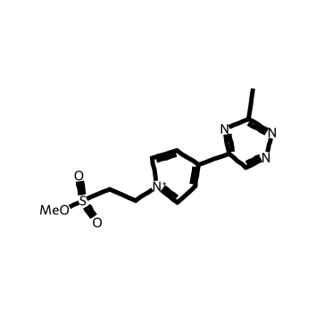 COS(=O)(=O)CC[n+]1ccc(-c2cnnc(C)n2)cc1